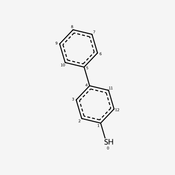 Sc1ccc(-c2ccccc2)cc1